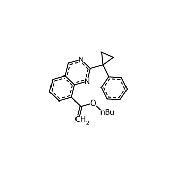 C=C(OCCCC)c1cccc2cnc(C3(c4ccccc4)CC3)nc12